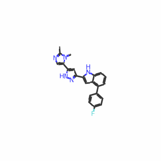 Cc1ncc(-c2cc(-c3cc4c(-c5ccc(F)cc5)cccc4[nH]3)n[nH]2)n1C